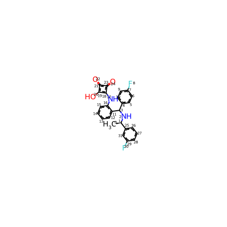 C[C@@H](NC(c1ccc(F)cc1)c1ccccc1Nc1c(O)c(=O)c1=O)c1cccc(F)c1